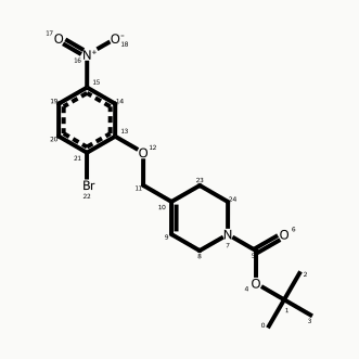 CC(C)(C)OC(=O)N1CC=C(COc2cc([N+](=O)[O-])ccc2Br)CC1